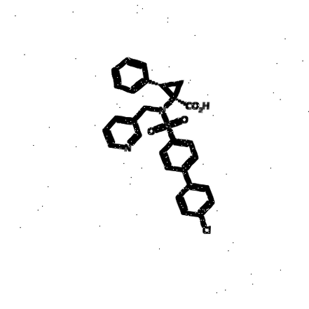 O=C(O)[C@@]1(N(Cc2cccnc2)S(=O)(=O)c2ccc(-c3ccc(Cl)cc3)cc2)C[C@H]1c1ccccc1